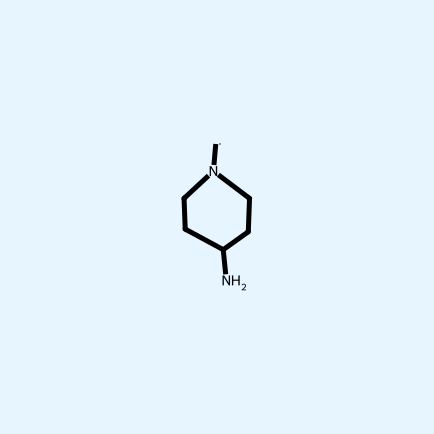 [CH2]N1CCC(N)CC1